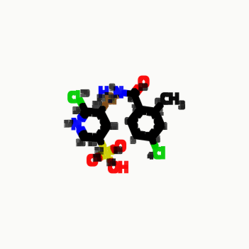 Cc1cc(Cl)ccc1C(N)=O.O=S(=O)(O)c1cnc(Cl)c(Br)c1